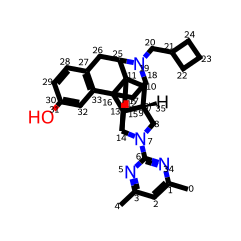 Cc1cc(C)nc(N2C[C@H]3CC45CCC2C3C42CCN(CC3CCC3)C5Cc3ccc(O)cc32)n1